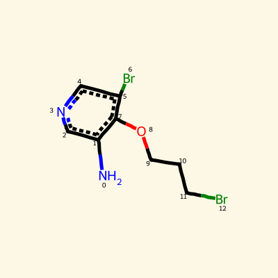 Nc1cncc(Br)c1OCCCBr